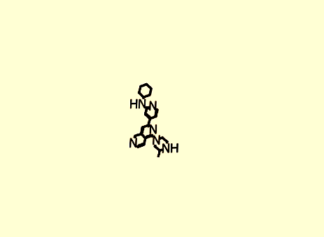 CC1CN(c2nc(-c3ccnc(NC4CCCCC4)c3)cc3cnccc23)CCN1